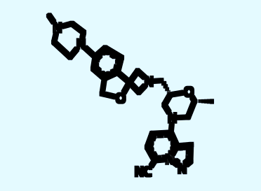 C[C@@H]1CN(c2ccc(C#N)n3nccc23)C[C@H](CN2CC3(C2)OCc2cc(N4CCN(C)CC4)ccc23)O1